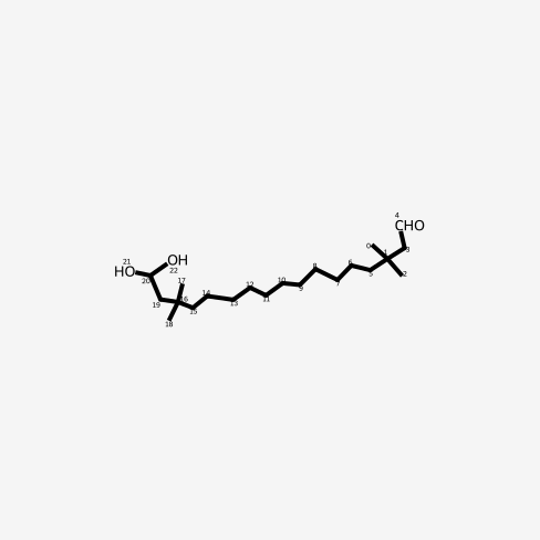 CC(C)(CC=O)CCCCCCCCCCCC(C)(C)CC(O)O